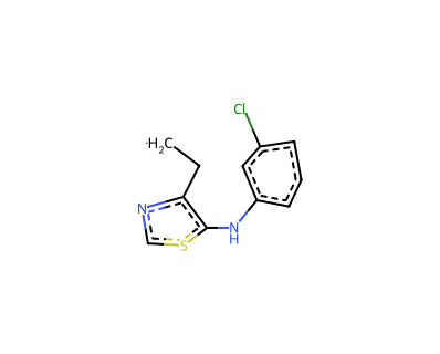 [CH2]Cc1ncsc1Nc1cccc(Cl)c1